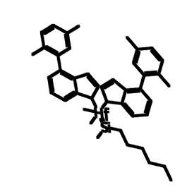 CCCCCC[Si](C)=[Hf]([CH3])([CH3])([CH]1C=Cc2c(-c3cc(C)ccc3C)cccc21)[CH]1C=Cc2c(-c3cc(C)ccc3C)cccc21